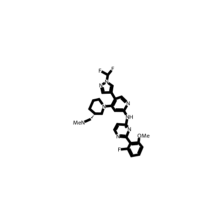 CNC[C@@H]1CCCN(c2cc(Nc3ccnc(-c4c(F)cccc4OC)n3)ncc2-c2cnn(C(F)F)c2)C1